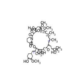 C=CC[C@@H]1/C=C(\C)C[C@H](C)C[C@H](OC)[C@H]2O[C@@](O)(C(=O)C(=O)N3CCCC[C@H]3C(=O)O[C@H](/C(C)=C/C3CC[C@@H](O)[C@H](OC)C3)[C@H](C)[C@@H](O)CC1=O)[C@H](C)C[C@@H]2OC.CCO